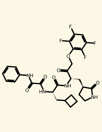 O=C(Nc1ccccc1)C(=O)N[C@@H](CC1CCC1)C(=O)N[C@@H](C[C@@H]1CCNC1=O)C(=O)COc1c(F)c(F)cc(F)c1F